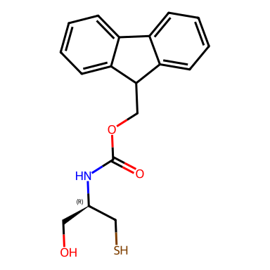 O=C(N[C@H](CO)CS)OCC1c2ccccc2-c2ccccc21